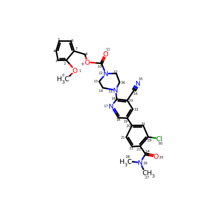 COc1ccccc1COC(=O)N1CCN(c2ncc(-c3ccc(C(=O)N(C)C)c(Cl)c3)cc2C#N)CC1